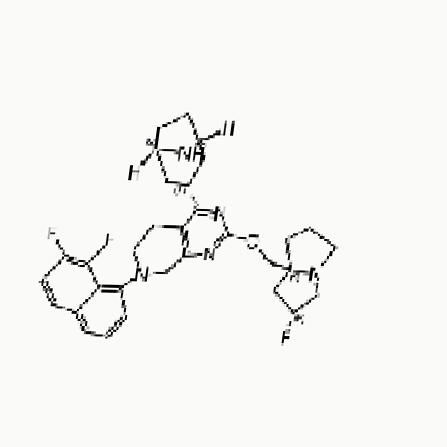 Fc1ccc2cccc(N3CCc4c(nc(OC[C@@]56CCCN5C[C@H](F)C6)nc4[C@H]4C[C@H]5CC[C@@H](C4)N5)C3)c2c1F